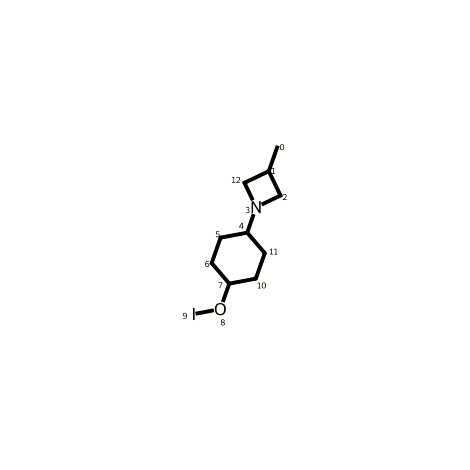 CC1CN(C2CCC(OI)CC2)C1